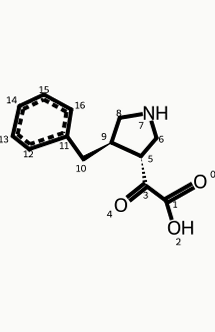 O=C(O)C(=O)[C@H]1CNC[C@@H]1Cc1ccccc1